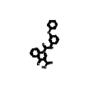 O=C(O)c1cn(C(=O)Nc2cccc(Oc3ccccc3)c2)c2ccccc2c1=O